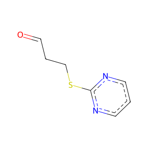 O=CCCSc1ncccn1